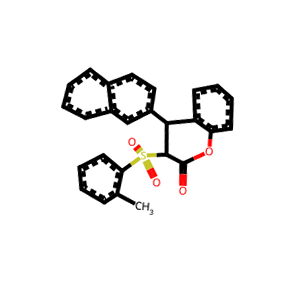 Cc1ccccc1S(=O)(=O)C1C(=O)Oc2ccccc2C1c1ccc2ccccc2c1